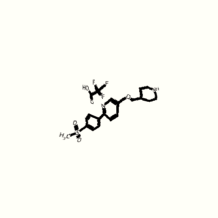 CS(=O)(=O)c1ccc(-c2ccc(OCC3CCNCC3)cn2)cc1.O=C(O)C(F)(F)F